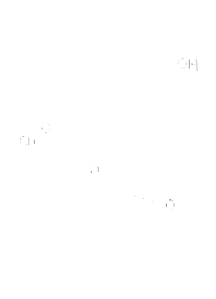 C1CCOC1.CCO.CCOC(C)=O.CO